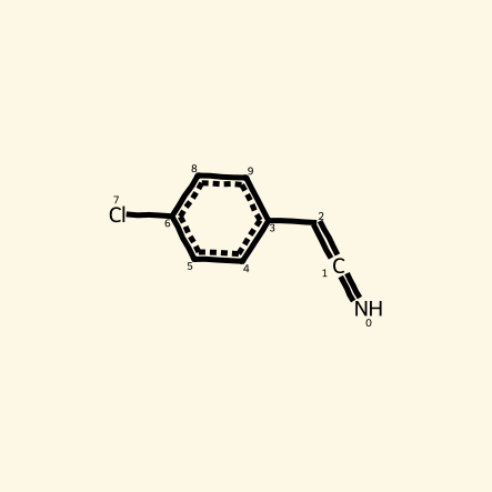 N=C=Cc1ccc(Cl)cc1